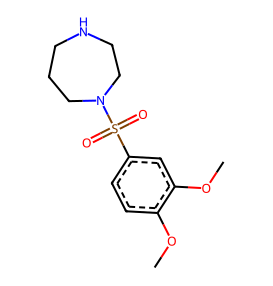 COc1ccc(S(=O)(=O)N2CCCNCC2)cc1OC